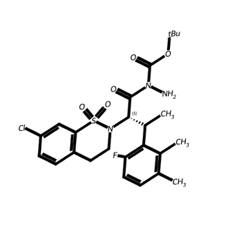 Cc1ccc(F)c(C(C)[C@@H](C(=O)N(N)C(=O)OC(C)(C)C)N2CCc3ccc(Cl)cc3S2(=O)=O)c1C